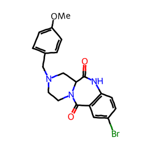 COc1ccc(CN2CCN3C(=O)c4cc(Br)ccc4NC(=O)C3C2)cc1